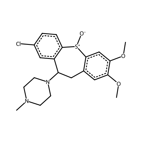 COc1cc2c(cc1OC)[S+]([O-])c1ccc(Cl)cc1C(N1CCN(C)CC1)C2